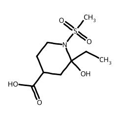 CCC1(O)CC(C(=O)O)CCN1S(C)(=O)=O